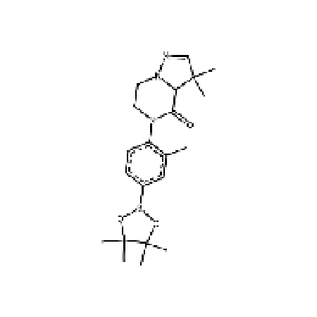 Cc1cc(B2OC(C)(C)C(C)(C)O2)ccc1N1CCN2N=CC(C)(C)C2C1=O